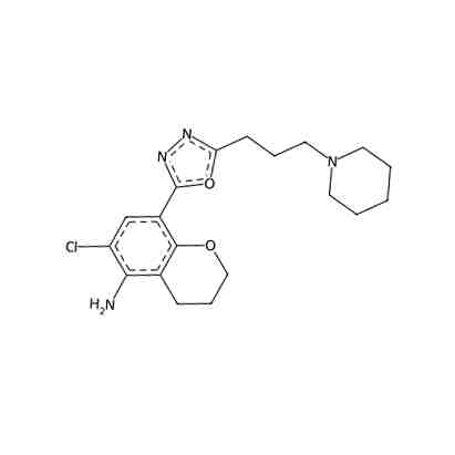 Nc1c(Cl)cc(-c2nnc(CCCN3CCCCC3)o2)c2c1CCCO2